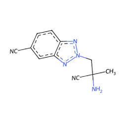 CC(N)(C#N)Cn1nc2ccc(C#N)cc2n1